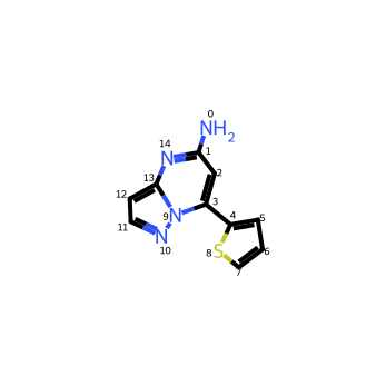 Nc1cc(-c2cccs2)n2nccc2n1